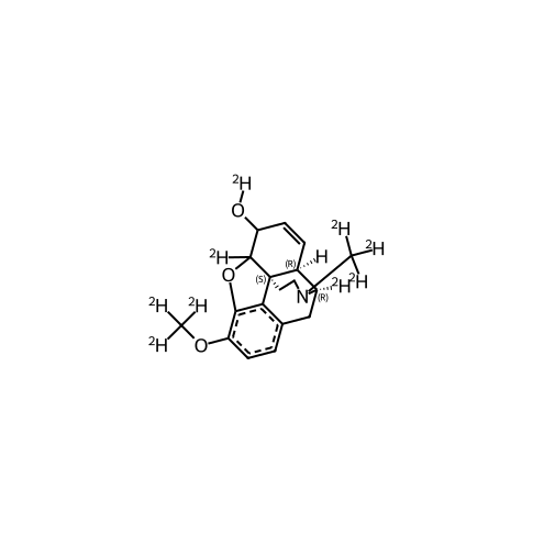 [2H]OC1C=C[C@H]2[C@@]3([2H])Cc4ccc(OC([2H])([2H])[2H])c5c4[C@@]2(CCN3C([2H])([2H])[2H])C1([2H])O5